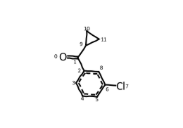 O=C(c1cccc(Cl)c1)C1CC1